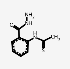 CC(=S)Nc1ccccc1C(=O)NN